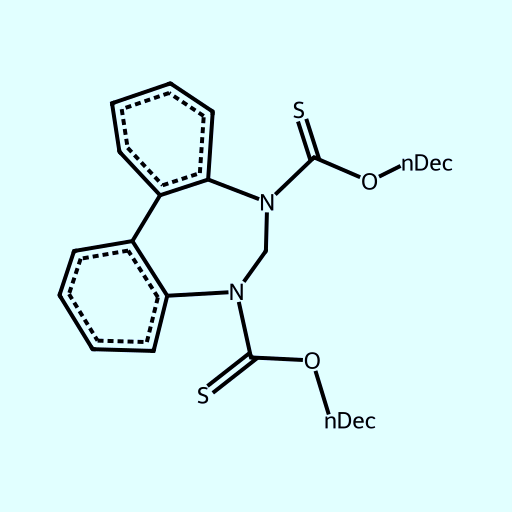 CCCCCCCCCCOC(=S)N1CN(C(=S)OCCCCCCCCCC)c2ccccc2-c2ccccc21